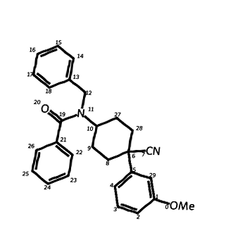 COc1cccc(C2(C#N)CCC(N(Cc3ccccc3)C(=O)c3ccccc3)CC2)c1